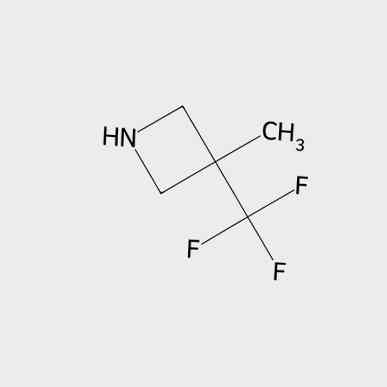 CC1(C(F)(F)F)CNC1